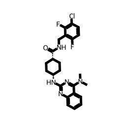 CN(C)c1nc(N[C@H]2CC[C@@H](C(=O)NCc3c(F)ccc(Cl)c3F)CC2)nc2ccccc12